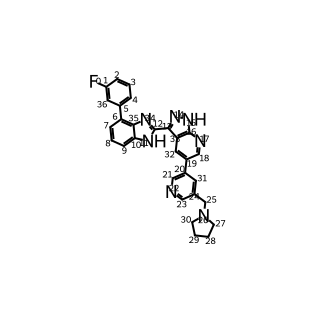 Fc1cccc(-c2cccc3[nH]c(-c4n[nH]c5ncc(-c6cncc(CN7CCCC7)c6)cc45)nc23)c1